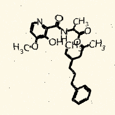 CCC(CCCc1ccccc1)CC(C)OC(=O)C(C)NC(=O)c1nccc(OC)c1O